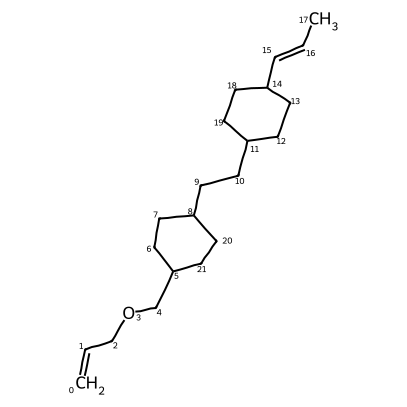 C=CCOCC1CCC(CCC2CCC(C=CC)CC2)CC1